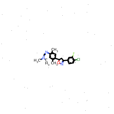 Cc1cc(C2CC(c3ccc(Cl)c(F)c3)=NO2)c(C)cc1/N=C\N(C)C